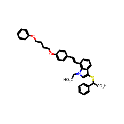 O=C(O)Cn1cc(SC(C(=O)O)c2ccccc2)c2cccc(/C=C/c3ccc(OCCCCOc4ccccc4)cc3)c21